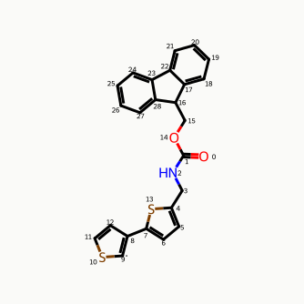 O=C(NCc1ccc(-c2[c]scc2)s1)OCC1c2ccccc2-c2ccccc21